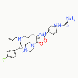 C=CCN(CCC[C@H](NC(=O)c1ccc(N/C=C\N)cc1)C(=O)N1CCN(C)CC1)C1CC1c1ccc(F)cc1